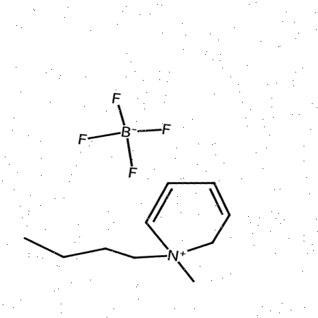 CCCC[N+]1(C)C=CC=CC1.F[B-](F)(F)F